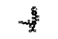 O=C(Nc1ccc(OC(F)(F)F)cc1)Nc1cn(CC=C(Cl)Cl)c(C(=O)NCCCO)n1